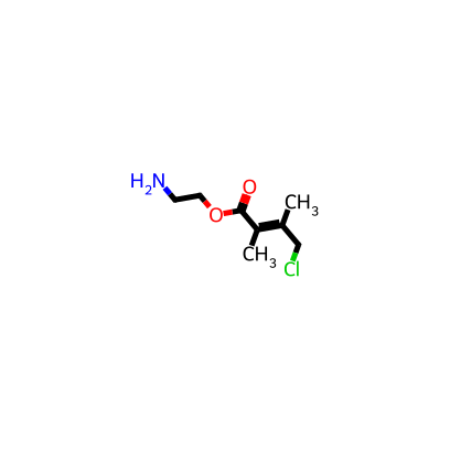 CC(CCl)=C(C)C(=O)OCCN